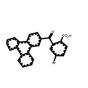 O=C(O)c1ccc(Br)cc1C(=O)c1ccc2c3ccccc3c3ccccc3c2c1